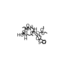 CCNC(=O)NN(C)CC(=O)N[C@@H](CCCCNC(=O)O)C(=O)N(Cc1csc2ccccc12)[C@@H](C)C(OCC)OCC